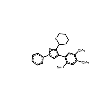 COc1cc(OC)c(-c2cn(-c3ccccc3)nc2C2SCCCS2)cc1OC